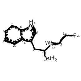 BC(Cc1c[nH]c2ccccc12)NCCF